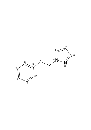 [c]1cn(CCc2ccccc2)nn1